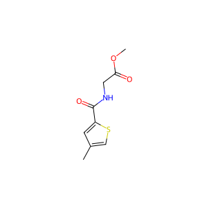 COC(=O)CNC(=O)c1cc(C)cs1